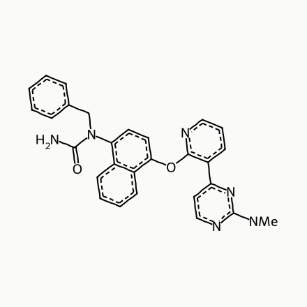 CNc1nccc(-c2cccnc2Oc2ccc(N(Cc3ccccc3)C(N)=O)c3ccccc23)n1